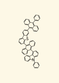 c1ccc(-c2c3ccccc3c(-c3ccc4c(c3)sc3c(-c5c6ccccc6c(-c6cccc7c6c6ccccc6n7-c6ccccc6)c6ccccc56)cccc34)c3ccccc23)cc1